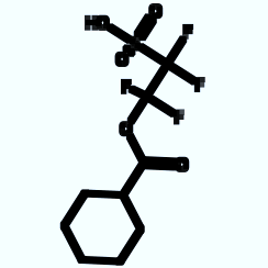 O=C(OC(F)(F)C(F)(F)S(=O)(=O)O)C1CCCCC1